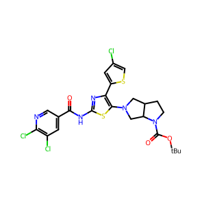 CC(C)(C)OC(=O)N1CCC2CN(c3sc(NC(=O)c4cnc(Cl)c(Cl)c4)nc3-c3cc(Cl)cs3)CC21